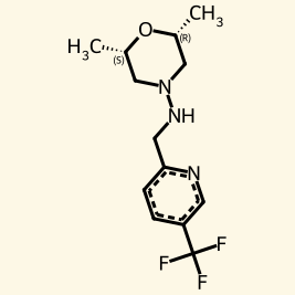 C[C@@H]1CN(NCc2ccc(C(F)(F)F)cn2)C[C@H](C)O1